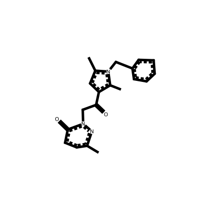 Cc1ccc(=O)n(CC(=O)c2cc(C)n(Cc3ccccc3)c2C)n1